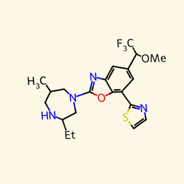 CCC1CN(c2nc3cc(C(OC)C(F)(F)F)cc(-c4nccs4)c3o2)CC(C)CN1